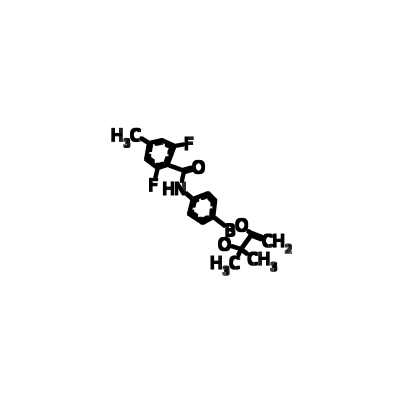 C=C1OB(c2ccc(NC(=O)c3c(F)cc(C)cc3F)cc2)OC1(C)C